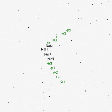 Cl.Cl.Cl.Cl.Cl.Cl.Cl.Cl.Cl.Cl.[NaH].[NaH].[NaH].[NaH]